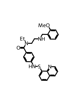 CCN(CCNCc1ccccc1OC)C(=O)c1ccc(NSc2cccc3cccnc23)cc1